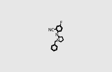 N#Cc1cc(F)ccc1N=C1CCCN1Cc1ccccc1